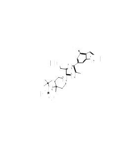 Cc1nc(N2CCC(C)(N(C(=O)O)C(C)(C)C)CC2)c(CO)nc1-c1cc(Cl)c2cc[nH]c2c1